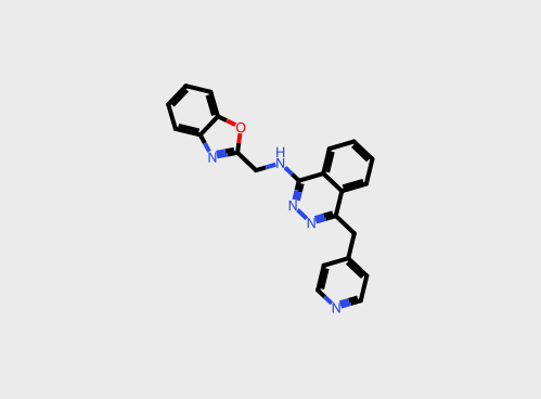 c1ccc2oc(CNc3nnc(Cc4ccncc4)c4ccccc34)nc2c1